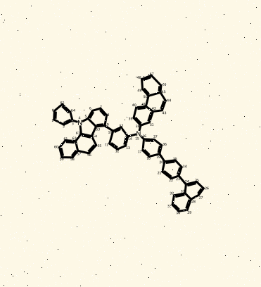 c1ccc(-n2c3cccc(-c4cccc(N(c5ccc(-c6ccc(-c7cccc8ccccc78)cc6)cc5)c5ccc6c(ccc7ccccc76)c5)c4)c3c3ccc4ccccc4c32)cc1